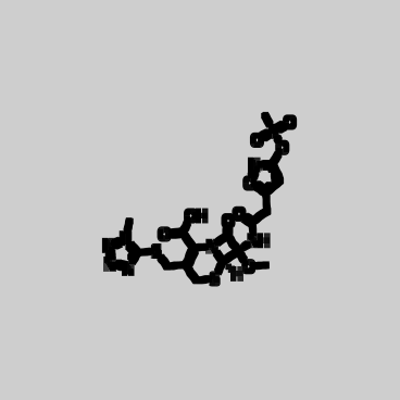 CO[C@@]1(NC(=O)Cc2cc(OS(C)(=O)=O)no2)C(=O)N2C(C(=O)O)=C(CSc3nnnn3C)CS[C@@H]21